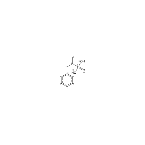 CC(Cc1ccccc1)P(=O)(O)O